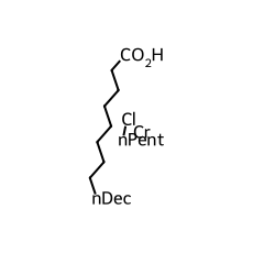 CCCCCCCCCCCCCCCCCC(=O)O.CCCCCCl.[Cr]